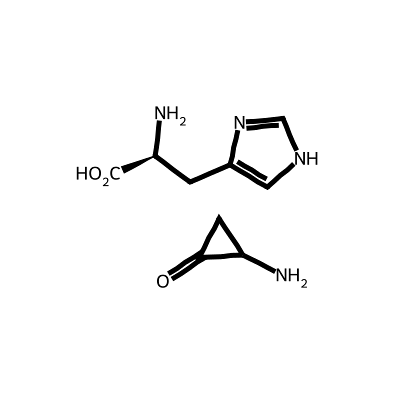 NC1CC1=O.N[C@@H](Cc1c[nH]cn1)C(=O)O